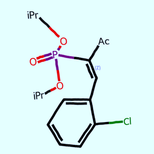 CC(=O)/C(=C/c1ccccc1Cl)P(=O)(OC(C)C)OC(C)C